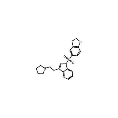 O=S(=O)(c1ccc2c(c1)CCO2)n1cc(CCN2CCCC2)c2ncccc21